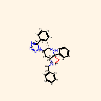 CO[C@]1(c2ccccc2)NCC(n2nnnc2-c2ccccc2)C[C@@H]1NCc1ccccc1